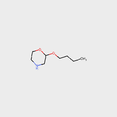 CCCCOC1CNCCO1